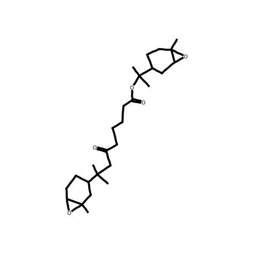 CC(C)(CC(=O)CCCCC(=O)OC(C)(C)C1CCC2(C)OC2C1)C1CCC2OC2(C)C1